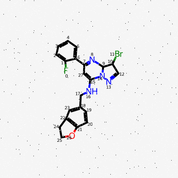 Fc1ccccc1C1=NC2C(Br)C=NN2C(NCc2ccc3c(c2)CCO3)=C1